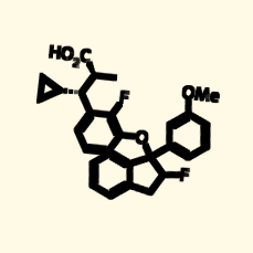 COc1cccc(C2(Oc3cccc([C@H](C4CC4)[C@H](C)C(=O)O)c3F)c3ccccc3CC2F)c1